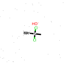 CCC[Si](C)(Cl)Cl.[Na+].[OH-]